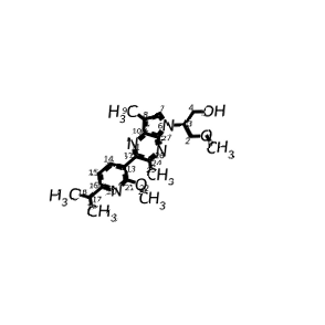 COCC(CO)n1cc(C)c2nc(-c3ccc(C(C)C)nc3OC)c(C)nc21